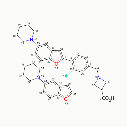 O=C(O)C1CN(Cc2ccc(-c3cc4cc(N5CCCCC5)ccc4o3)c(F)c2)C1.c1cc2cc(N3CCCCC3)ccc2o1